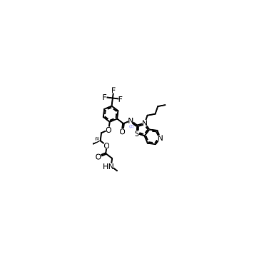 CCCCn1/c(=N/C(=O)c2cc(C(F)(F)F)ccc2OC[C@H](C)OC(=O)CNC)sc2ccncc21